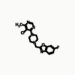 Cc1ncnc(N2CCN(Cc3nc4ccc(F)cc4o3)CC2)c1Cl